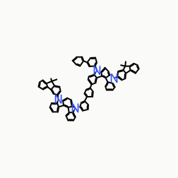 CC1(C)c2ccccc2-c2cc(-n3c4ccccc4c4c5c6ccccc6n(-c6cccc(-c7ccc(-c8ccc9c(c8)c8c%10c%11ccccc%11n(-c%11ccc%12c(c%11)C(C)(C)c%11ccccc%11-%12)c%10ccc8n9-c8cccc(-c9ccccc9)c8)cc7)c6)c5ccc43)ccc21